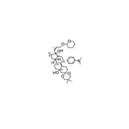 C[C@@H]1C[C@H]2[C@@H]3CC[C@@]4(O)CC5(CCC4=C3[C@@H](c3ccc(N(C)C)cc3)C[C@]2(C)[C@]1(O)/C=C\COC1CCCCO1)OCC(C)(C)CO5